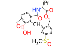 Cc1c(C(=O)NC(C(=O)OCc2ccc([S+](C)[O-])cc2)C(C)C)ccc2c1B(O)OC2